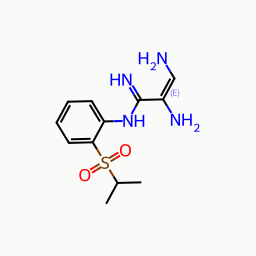 CC(C)S(=O)(=O)c1ccccc1NC(=N)/C(N)=C\N